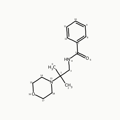 CC(C)(CNC(=O)c1ccccc1)N1CCOCC1